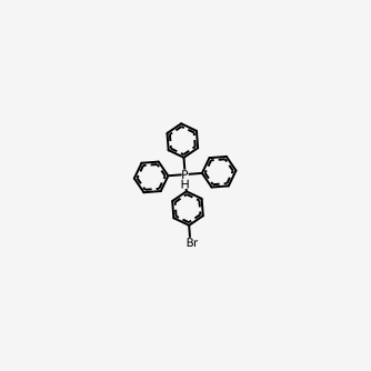 Brc1ccc([PH](c2ccccc2)(c2ccccc2)c2ccccc2)cc1